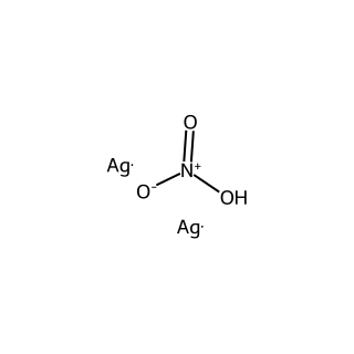 O=[N+]([O-])O.[Ag].[Ag]